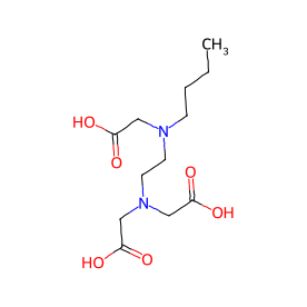 CCCCN(CCN(CC(=O)O)CC(=O)O)CC(=O)O